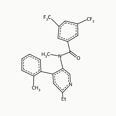 CCc1cc(-c2ccccc2C)c(N(C)C(=O)c2cc(C(F)(F)F)cc(C(F)(F)F)c2)cn1